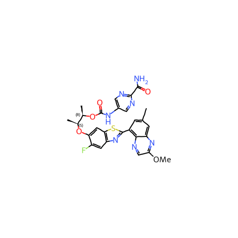 COc1cnc2c(-c3nc4cc(F)c(O[C@@H](C)[C@@H](C)OC(=O)Nc5cnc(C(N)=O)nc5)cc4s3)cc(C)cc2n1